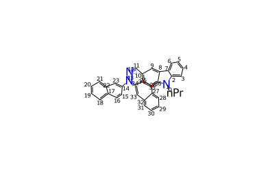 CCCn1c2ccccc2c2cc(/C=N\N(c3ccc4ccccc4c3)c3ccc4ccccc4c3)ccc21